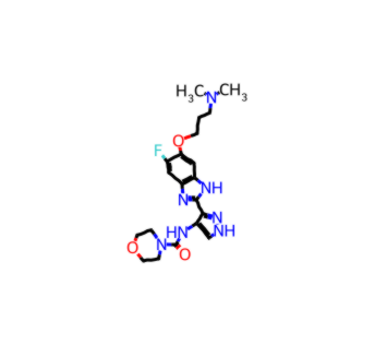 CN(C)CCCOc1cc2[nH]c(-c3n[nH]cc3NC(=O)N3CCOCC3)nc2cc1F